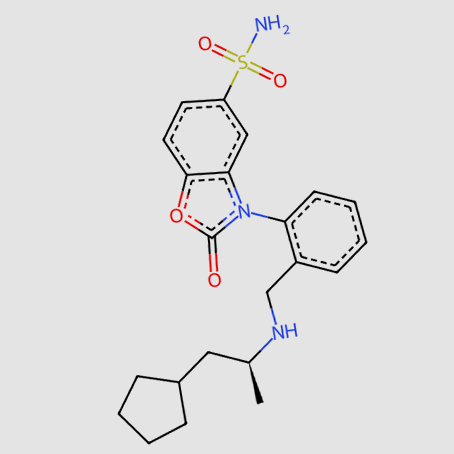 C[C@@H](CC1CCCC1)NCc1ccccc1-n1c(=O)oc2ccc(S(N)(=O)=O)cc21